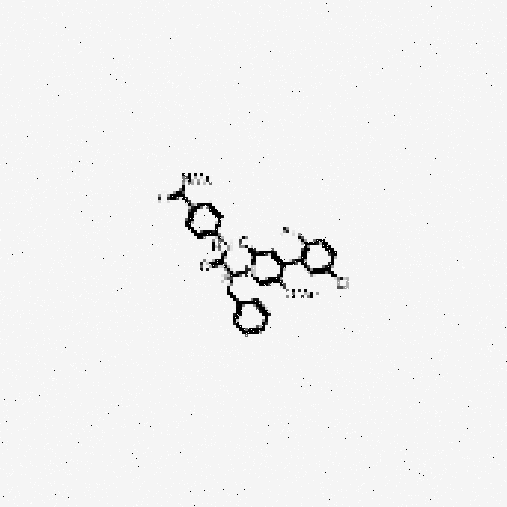 CNC(=O)c1ccc(NC(=O)[C@H](Cc2ccccc2)n2cc(OC)c(-c3cc(Cl)ccc3C(C)=O)cc2=O)cc1